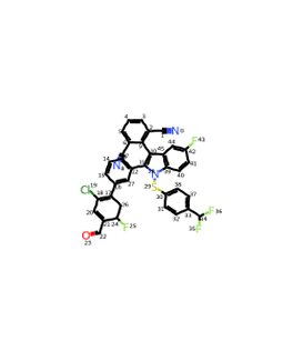 N#Cc1cccc(C#N)c1-c1c(-c2cccc(C3=C(Cl)C=C(C=O)C(F)C3)c2)n(Sc2ccc(C(F)F)cc2)c2ccc(F)cc12